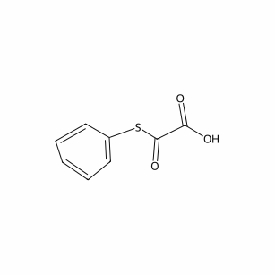 O=C(O)C(=O)Sc1ccccc1